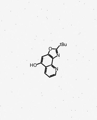 CC(C)(C)c1nc2c(cc(O)c3cccnc32)o1